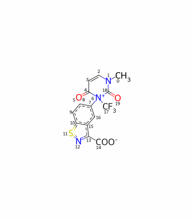 CN1C=CC(=O)[N+](c2ccc3snc(C(=O)[O-])c3c2)(C(F)(F)F)C1=O